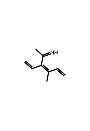 C=C/C(C)=C(/C=C)C(C)=N